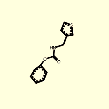 O=C(NCc1ccsc1)Oc1ccccc1